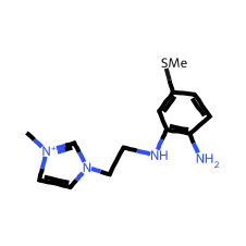 CSc1ccc(N)c(NCCn2cc[n+](C)c2)c1